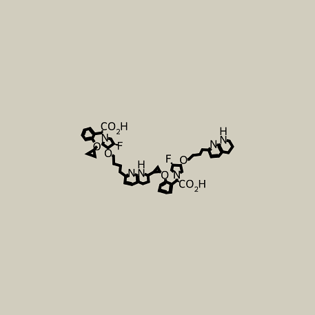 O=C(O)[C@H](c1ccccc1OC1CC1)N1C[C@@H](F)[C@@H](OCCCCc2ccc3c(n2)NC(C2CC2Oc2ccccc2[C@H](C(=O)O)N2C[C@@H](F)[C@@H](OCCCCc4ccc5c(n4)NCCC5)C2)CC3)C1